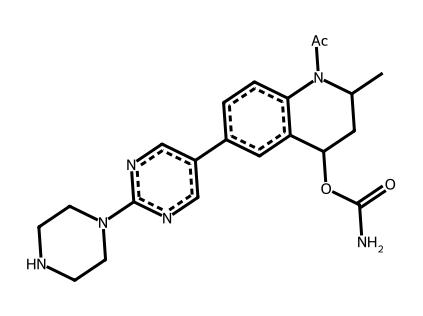 CC(=O)N1c2ccc(-c3cnc(N4CCNCC4)nc3)cc2C(OC(N)=O)CC1C